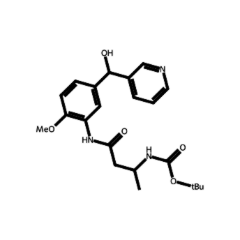 COc1ccc(C(O)c2cccnc2)cc1NC(=O)CC(C)NC(=O)OC(C)(C)C